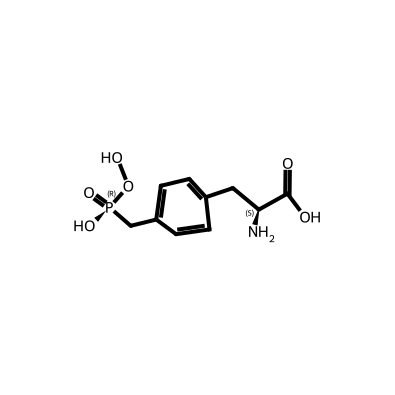 N[C@@H](Cc1ccc(C[P@@](=O)(O)OO)cc1)C(=O)O